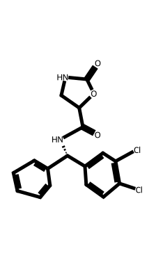 O=C1NCC(C(=O)N[C@@H](c2ccccc2)c2ccc(Cl)c(Cl)c2)O1